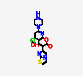 O=c1oc2nc(N3CCNCC3)ccc2cc1-c1cn2ccsc2n1.OCl